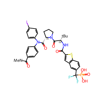 CNC(=O)c1ccc(N(C(=O)[C@@H]2CCCN2C(=O)[C@@H](NC(=O)c2cc3cc(C(F)(F)P(=O)(O)O)ccc3s2)C(C)(C)C)c2ccc(I)cc2)cc1